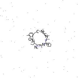 CCC1C(=N/C)/C=C(C)/N=C(N2CCCC2)\C=C(/C)N(C)CCN(C)CCCc2ccc(C)cc2C(=O)N1C